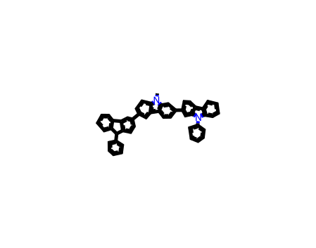 Cn1c2ccc(-c3ccc4c(c3)-c3ccccc3C4c3ccccc3)cc2c2ccc(-c3ccc4c5ccccc5n(-c5ccccc5)c4c3)cc21